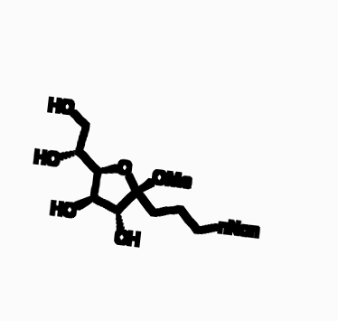 CCCCCCCCCCCC[C@@]1(OC)O[C@H]([C@H](O)CO)[C@H](O)[C@H]1O